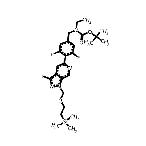 CCN(Cc1cc(F)c(-c2cc3c(I)nn(COCC[Si](C)(C)C)c3cn2)c(F)c1)C(=O)OC(C)(C)C